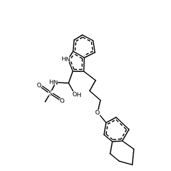 CS(=O)(=O)NC(O)c1[nH]c2ccccc2c1CCCOc1ccc2c(c1)CCCC2